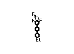 CCC1CCC(c2ccc(-c3cc(F)c(OCCF)c(F)c3)cc2)CC1